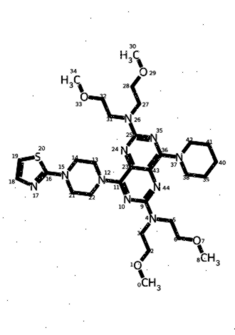 COCCN(CCOC)c1nc(N2CCN(c3nccs3)CC2)c2nc(N(CCOC)CCOC)nc(N3CCCCC3)c2n1